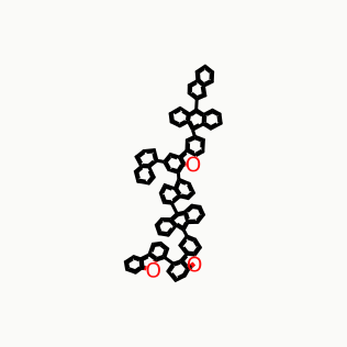 c1ccc2cc(-c3c4ccccc4c(-c4ccc5oc6c(-c7cccc8c(-c9c%10ccccc%10c(-c%10ccc%11oc%12cccc(-c%13cccc%14c%13oc%13ccccc%13%14)c%12c%11c%10)c%10ccccc9%10)cccc78)cc(-c7cccc8ccccc78)cc6c5c4)c4ccccc34)ccc2c1